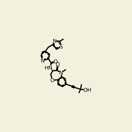 Cc1nc(Cc2ccnc(C(=O)NC3COc4ccc(C#CC(C)(C)O)cc4N(C)C3=O)c2)cs1